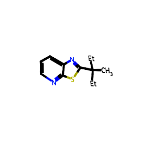 CCC(C)(CC)c1nc2cccnc2s1